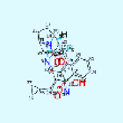 Cc1cc(C(=O)O)cnc1N1C2CC[C@H]1CC(OCc1c(-c3ccccc3OC(F)(F)F)noc1C1CC1)C2